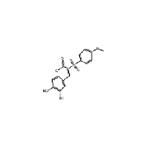 COc1ccc(S(=O)(=O)/C(=C/c2ccc(O)c(O)c2)[N+](=O)[O-])cc1